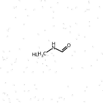 CNC=O.[LiH]